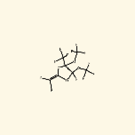 FC(F)=C1OC(F)(OC(F)(F)F)C(OC(F)(F)F)(C(F)(F)F)O1